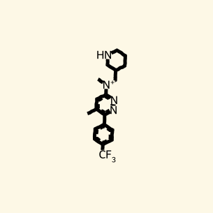 Cc1cc(/[N+](C)=C/C2CCCNC2)nnc1-c1ccc(C(F)(F)F)cc1